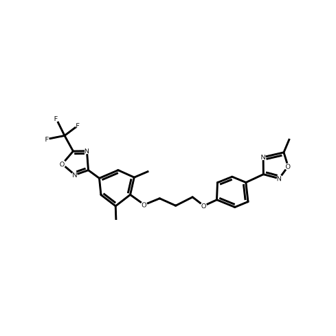 Cc1nc(-c2ccc(OCCCOc3c(C)cc(-c4noc(C(F)(F)F)n4)cc3C)cc2)no1